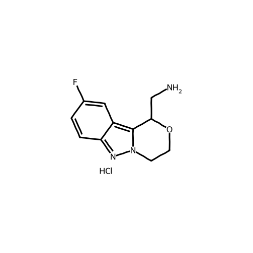 Cl.NCC1OCCn2nc3ccc(F)cc3c21